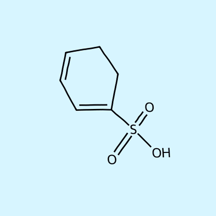 O=S(=O)(O)C1=CC=CCC1